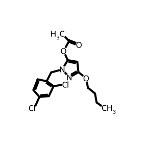 CCCCOc1cc(OC(C)=O)n(Cc2ccc(Cl)cc2Cl)n1